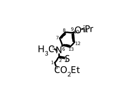 CCOC(=O)CC(=S)N(C)c1ccc(OC(C)C)cc1